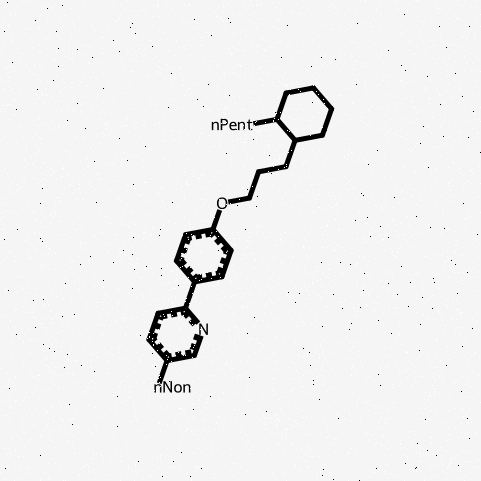 CCCCCCCCCc1ccc(-c2ccc(OCCCC3CCCCC3CCCCC)cc2)nc1